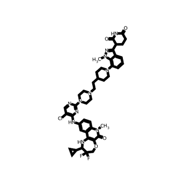 Cn1nc(C2CCC(=O)NC2=O)c2cccc(N3CCC(CCN4CCN(c5ncc(Cl)c(Nc6ccc7c(c6)c6c(c(=O)n7C)OCC(F)(F)C(C7CC7)N6)n5)CC4)CC3)c21